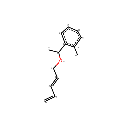 C=CC=CCOC(C)c1ccccc1C